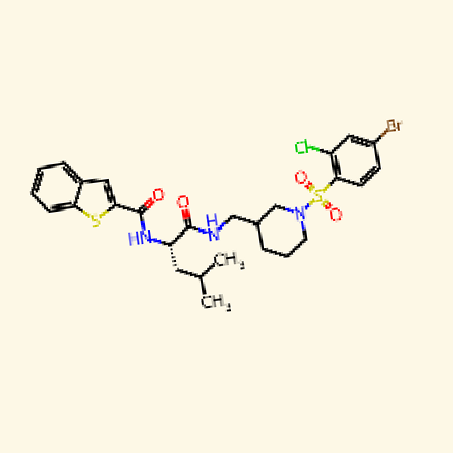 CC(C)C[C@H](NC(=O)c1cc2ccccc2s1)C(=O)NCC1CCCN(S(=O)(=O)c2ccc(Br)cc2Cl)C1